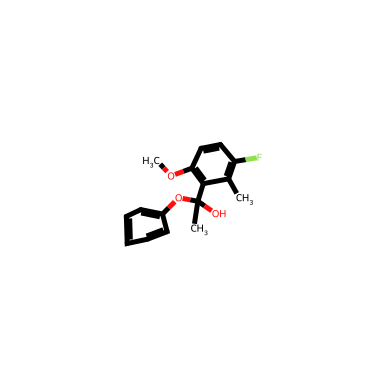 COc1ccc(F)c(C)c1C(C)(O)Oc1ccccc1